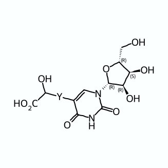 O=C(O)[CH](O)[Y][c]1cn([C@@H]2O[C@H](CO)[C@@H](O)[C@H]2O)c(=O)[nH]c1=O